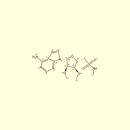 CNS(=O)(=O)C[C@H]1O[C@@H](n2cnc3c(N)ncnc32)[C@H](OC)[C@@H]1OC